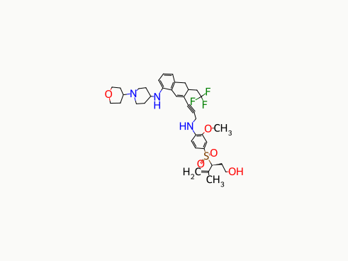 C=C(C)[C@H](CCO)S(=O)(=O)c1ccc(NCC#CC2=Cc3c(cccc3NC3CCN(C4CCOCC4)CC3)CC2CC(F)(F)F)c(OC)c1